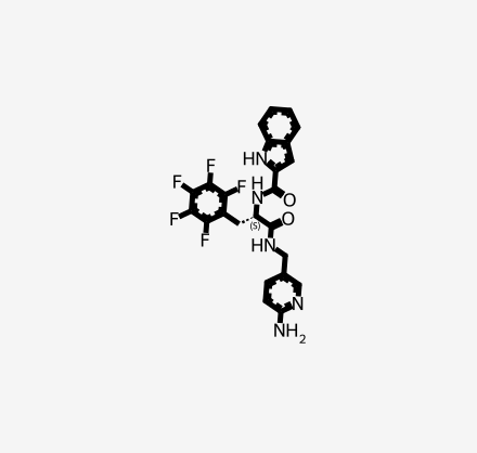 Nc1ccc(CNC(=O)[C@H](Cc2c(F)c(F)c(F)c(F)c2F)NC(=O)c2cc3ccccc3[nH]2)cn1